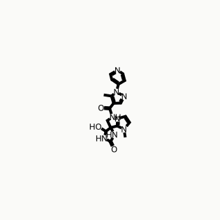 Cc1c(C(=O)NCC2(c3nccn3C)NC(=O)NC2O)cnn1-c1ccncc1